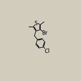 Cc1sc(C)c(Cc2ccc(Cl)cc2)c1Br